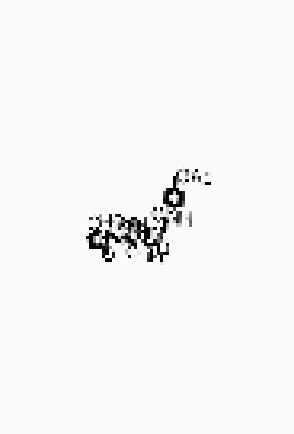 CC(=O)OCc1ccc(NC(=O)CNC(=O)C(NC(=O)[C@@H](CCN2C(=O)C=CC2=O)S(=O)O)C(C)C)cc1